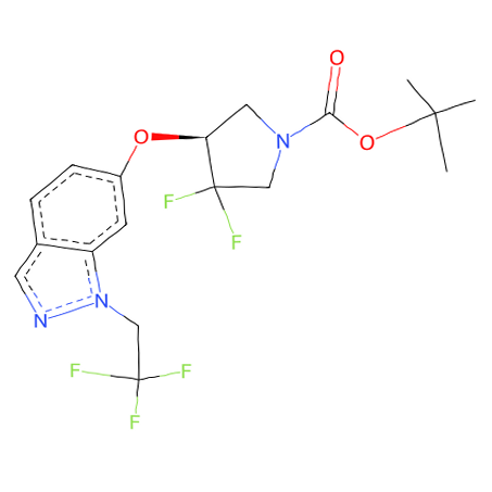 CC(C)(C)OC(=O)N1C[C@H](Oc2ccc3cnn(CC(F)(F)F)c3c2)C(F)(F)C1